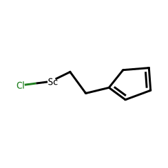 [Cl][Sc][CH2]CC1=CC=CC1